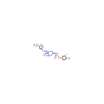 O=C(COc1ccc(Cl)c(F)c1)N[C@H]1CC[C@H](C(=O)NCc2cc(C(F)(F)F)on2)NC1